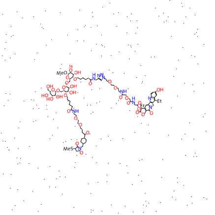 CCc1c2c(nc3ccc(O)cc13)-c1cc3c(c(=O)n1C2)COC(=O)[C@@]3(CC)OC(=O)CNC(=O)COCC(=O)NCCOCCOCCn1cc(CNC(=O)CCCCCO[C@H]2[C@@H](O)[C@@H](O)[C@@H](OC)O[C@@H]2CO[C@H]2O[C@H](CO[C@H]3O[C@H](CO)[C@@H](O)[C@@H](O)[C@H]3O)[C@@H](OCCCCCC(=O)NCCOCCOCCCC(=O)C3CCC(CN4C(=O)CC(SC)C4=O)CC3)[C@@H](O)[C@H]2O)nn1